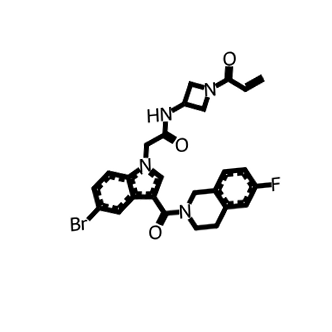 C=CC(=O)N1CC(NC(=O)Cn2cc(C(=O)N3CCc4cc(F)ccc4C3)c3cc(Br)ccc32)C1